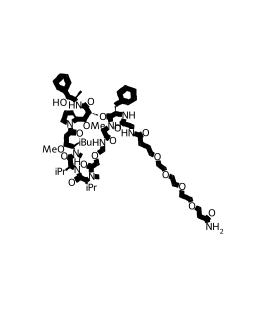 CC[C@H](C)[C@@H]([C@@H](CC(=O)N1CCC[C@H]1[C@H](OC)[C@@H](C)C(=O)N[C@H](C)[C@@H](O)c1ccccc1)OC)N(C)C(=O)[C@@H](NC(=O)[C@H](C(C)C)N(C)C(=O)COCNC(=O)CNC(=O)[C@H](Cc1ccccc1)NC(=O)CNC(=O)CCCOCCOCCOCCOCCC(N)=O)C(C)C